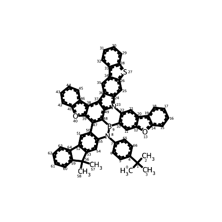 CC(C)(C)c1ccc(N2B3c4cc5oc6ccccc6c5cc4-n4c5cc6sc7ccccc7c6cc5c5c6c(oc7ccccc76)c(c3c54)-c3cc4c(cc32)C(C)(C)c2ccccc2-4)cc1